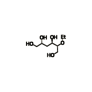 CCOC(CO)[C@H](O)CC(O)CO